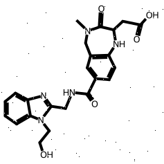 CN1Cc2cc(C(=O)NCc3nc4ccccc4n3CCO)ccc2NC(CC(=O)O)C1=O